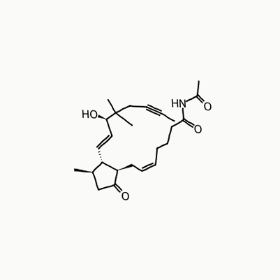 CC#CCC(C)(C)[C@H](O)/C=C/[C@H]1[C@H](C)CC(=O)[C@@H]1C/C=C\CCCC(=O)NC(C)=O